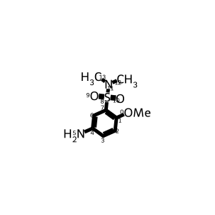 COc1ccc(N)cc1S(=O)(=O)N(C)C